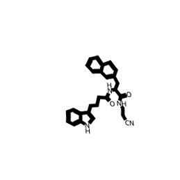 N#CCCNC(=O)C(Cc1ccc2ccccc2c1)NC(=O)CCCc1c[nH]c2ccccc12